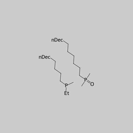 CCCCCCCCCCCCCCCCP(C)(C)=O.CCCCCCCCCCCCCCP(C)CC